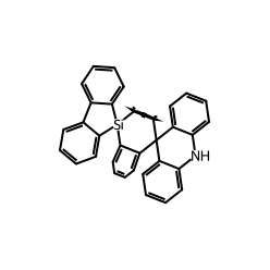 c1ccc2c(c1)Nc1ccccc1C21c2ccccc2[Si]2(c3ccccc3-c3ccccc32)c2ccccc21